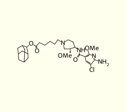 COc1nc(N)c(Cl)cc1C(=O)N[C@@H]1CCN(CCCCCC(=O)OC2C3CC4CC(C3)CC2C4)C[C@@H]1OC